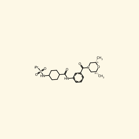 CC(C)S(=O)(=O)NC1CCC(C(=O)Nc2cccc(C(=O)N3C[C@@H](C)O[C@@H](C)C3)c2)CC1